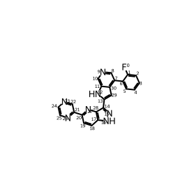 Fc1ccccc1-c1cncc2[nH]c(-c3n[nH]c4ccc(-c5cnccn5)nc34)cc12